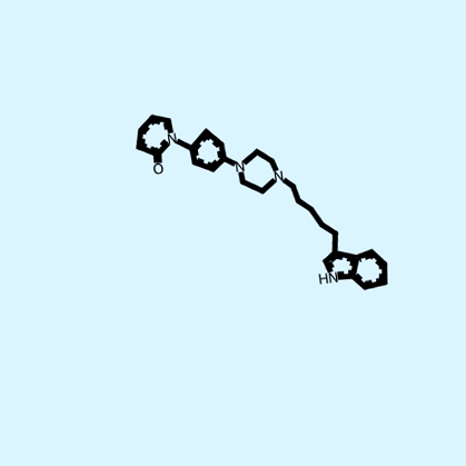 O=c1ccccn1-c1ccc(N2CCN(CCCCCc3c[nH]c4ccccc34)CC2)cc1